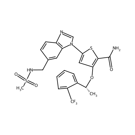 C[C@@H](Oc1cc(-n2cnc3ccc(CNS(C)(=O)=O)cc32)sc1C(N)=O)c1ccccc1C(F)(F)F